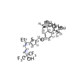 CC/C(=C/C=C/C(O)(C(F)(F)F)C(F)(F)F)c1ccc(COc2ccc(C(O)[Si](C)(C)C(C)(C)C)c(C(O)[Si](C)(C)C(C)(C)C)c2)s1